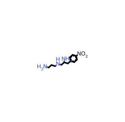 NCCCNCC(N)Cc1ccc([N+](=O)[O-])cc1